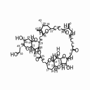 C=C1C[C@@H]2CCC(=O)C[C@H]3OC4[C@@H](O)[C@H]5OC(CC[C@@H]5O[C@H]4[C@H]3O)CC(=O)O[C@H]3C(C[C@H]4OC(CC[C@@H]1O2)C[C@@H](C)C4=C)O[C@H]1C[C@@H](O)[C@@H](CCO)O[C@H]1[C@@H]3C